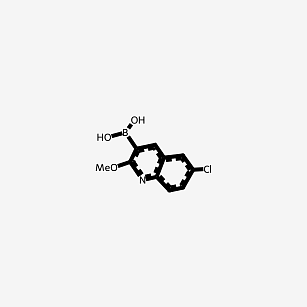 COc1nc2ccc(Cl)cc2cc1B(O)O